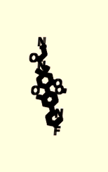 COc1cc(-c2ccc(F)cn2)cc(C)c1C1C(=O)CC2(CC1=O)CN(C(=O)CC#N)C2